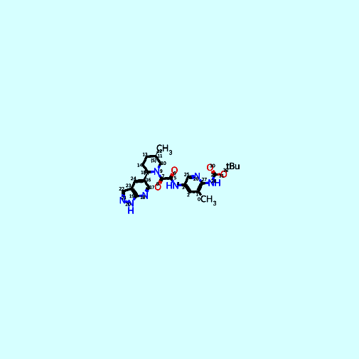 Cc1cc(NC(=O)C(=O)N2C[C@@H](C)CC[C@@H]2c2cnc3[nH]ncc3c2)cnc1NC(=O)OC(C)(C)C